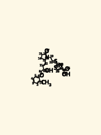 Cc1ccccc1OCC(O)/C=C/[C@H]1CCC(=O)N1CCSc1nc(C(=O)O)cs1